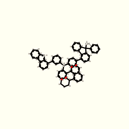 CC1(c2ccccc2)c2ccccc2-c2c(-c3ccc(N(c4cccc(-c5cccc6c5sc5ccccc56)c4)c4ccccc4-c4cccc5cccc(C6CCCCC6)c45)cc3)cccc21